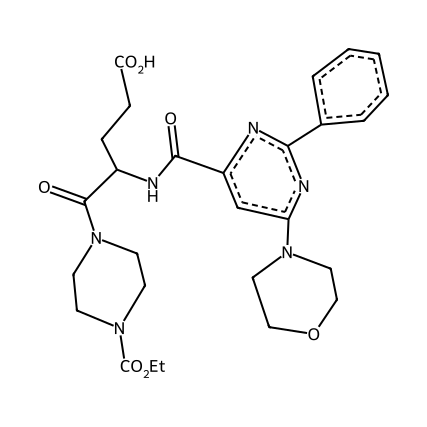 CCOC(=O)N1CCN(C(=O)C(CCC(=O)O)NC(=O)c2cc(N3CCOCC3)nc(-c3ccccc3)n2)CC1